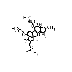 CC[C@H]1[C@@H](OCOC)C2C3C[C@H](OCOC)[C@H]([C@H](C)CCOC(C)=O)[C@@]3(C)CCC2[C@@]2(C)CC[C@@H](C)C[C@@H]12